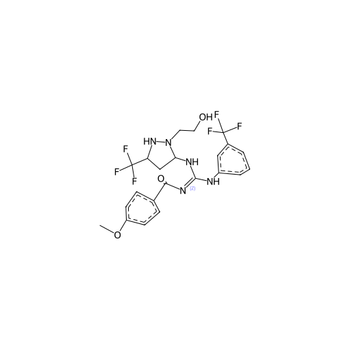 COc1ccc(C(=O)/N=C(/Nc2cccc(C(F)(F)F)c2)NC2CC(C(F)(F)F)NN2CCO)cc1